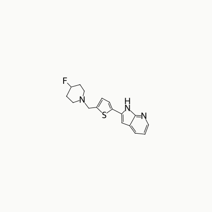 FC1CCN(Cc2ccc(-c3cc4cccnc4[nH]3)s2)CC1